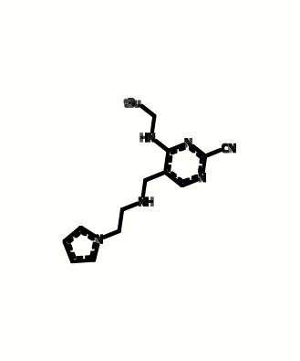 CC(C)(C)CNc1nc(C#N)ncc1CNCCn1cccc1